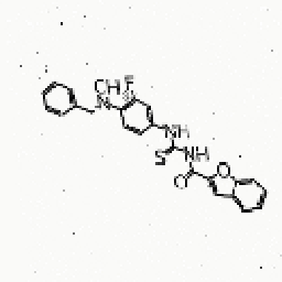 CN(Cc1ccccc1)c1ccc(NC(=S)NC(=O)c2cc3ccccc3o2)cc1F